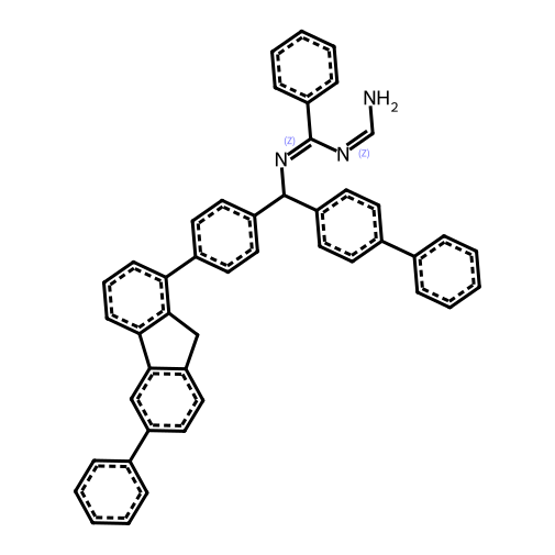 N/C=N\C(=N/C(c1ccc(-c2ccccc2)cc1)c1ccc(-c2cccc3c2Cc2ccc(-c4ccccc4)cc2-3)cc1)c1ccccc1